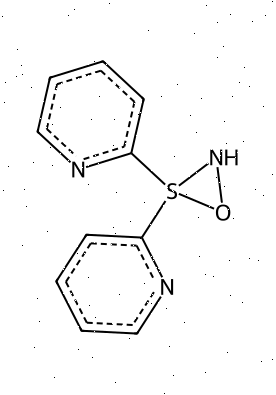 c1ccc(S2(c3ccccn3)NO2)nc1